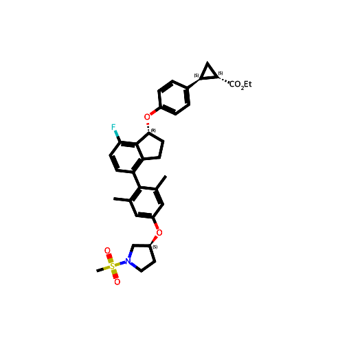 CCOC(=O)[C@H]1C[C@@H]1c1ccc(O[C@@H]2CCc3c(-c4c(C)cc(O[C@H]5CCN(S(C)(=O)=O)C5)cc4C)ccc(F)c32)cc1